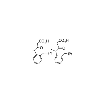 CC(C)Cc1ccccc1C(C)C(=O)CC(=O)O.CC(C)Cc1ccccc1C(C)C(=O)CC(=O)O